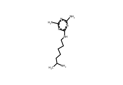 CC(N)CCCCCNc1nc(N)nc(N)n1